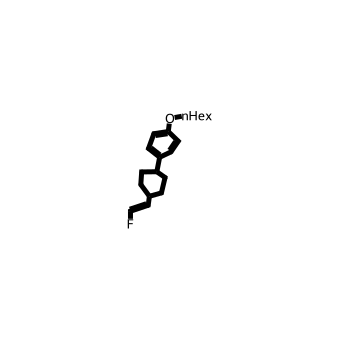 CCCCCCOc1ccc(C2CCC(C=CF)CC2)cc1